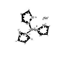 [Na+].c1cnn([BH-](n2cccn2)n2cccn2)c1